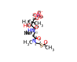 CC(=O)SCCN(C)C(=O)CCNC(=O)[C@H](O)C(C)(C)COP(=O)([O-])[O-].[Na+].[Na+]